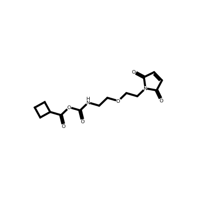 O=C(NCCOCCN1C(=O)C=CC1=O)OC(=O)C1CCC1